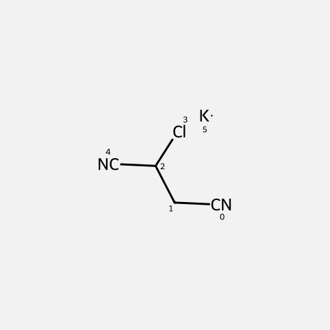 N#CCC(Cl)C#N.[K]